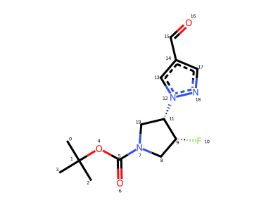 CC(C)(C)OC(=O)N1C[C@@H](F)[C@@H](n2cc(C=O)cn2)C1